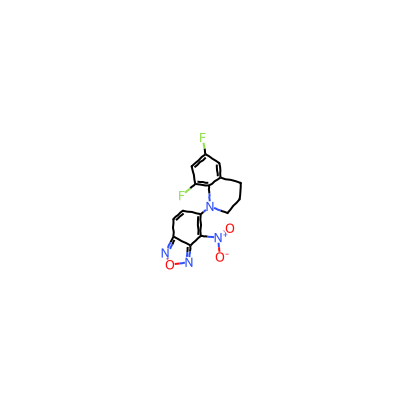 O=[N+]([O-])c1c(N2CCCc3cc(F)cc(F)c32)ccc2nonc12